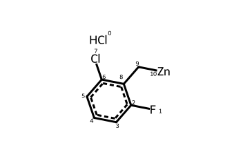 Cl.Fc1cccc(Cl)c1[CH2][Zn]